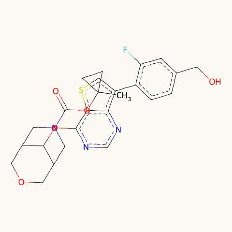 CC1(OC(=O)N2CC3COCC(C2)C3Oc2ncnc3c(-c4ccc(CO)cc4F)csc23)CC1